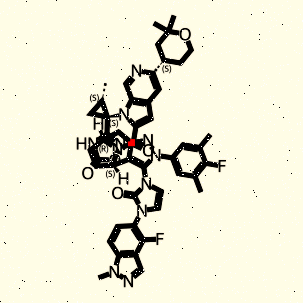 Cc1cc(-n2nc3c(c2-n2ccn(-c4ccc5c(cnn5C)c4F)c2=O)[C@@H]2CC[C@H](C3)N2C(=O)c2cc3cc([C@H]4CCOC(C)(C)C4)ncc3n2[C@@]2(c3noc(=O)[nH]3)C[C@@H]2C)cc(C)c1F